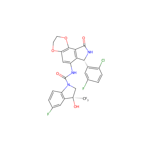 O=C1N[C@H](c2cc(F)ccc2Cl)c2c(NC(=O)N3C[C@](O)(C(F)(F)F)c4cc(F)ccc43)cc3c(c21)OCCO3